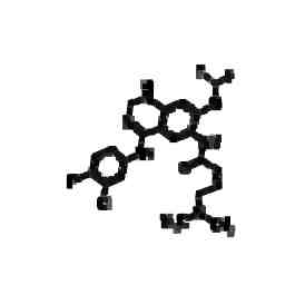 CN(C)C/C=C\C(=O)Nc1cc2c(cc1OC(F)F)NCN=C2Nc1ccc(F)c(Cl)c1